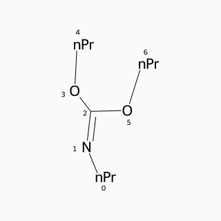 CCCN=C(OCCC)OCCC